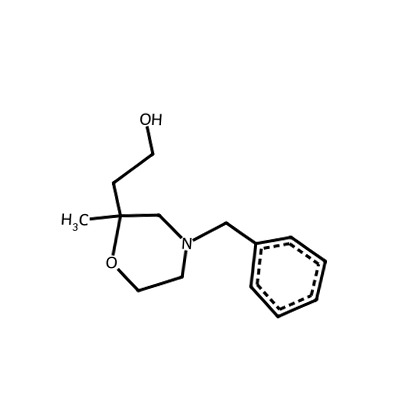 CC1(CCO)CN(Cc2ccccc2)CCO1